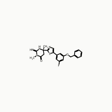 CN1C(=N)N[C@](C)(c2ncc(-c3cc(F)cc(OCc4ccccc4)c3)s2)CC1=O